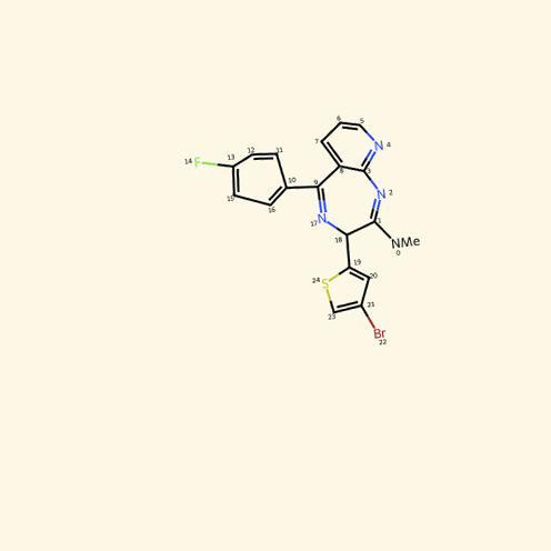 CNC1=Nc2ncccc2C(c2ccc(F)cc2)=NC1c1cc(Br)cs1